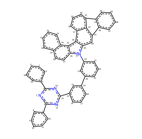 c1ccc(-c2nc(-c3ccccc3)nc(-c3cccc(-c4cccc(-n5c6ccc7ccccc7c6c6c7cccc8c7c(cc65)-c5ccccc5-8)c4)c3)n2)cc1